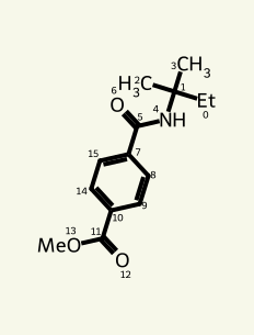 CCC(C)(C)NC(=O)c1ccc(C(=O)OC)cc1